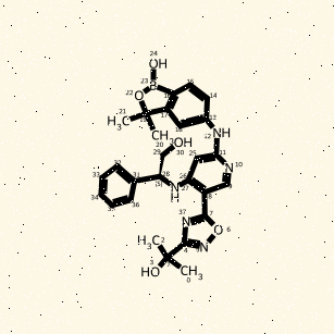 CC(C)(O)c1noc(-c2cnc(Nc3ccc4c(c3)C(C)(C)OB4O)cc2N[C@H](CO)c2ccccc2)n1